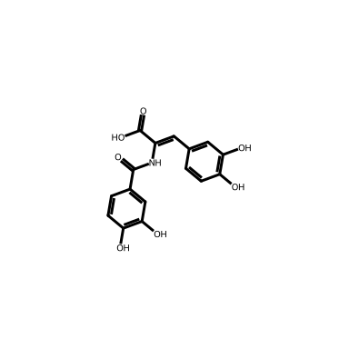 O=C(O)/C(=C/c1ccc(O)c(O)c1)NC(=O)c1ccc(O)c(O)c1